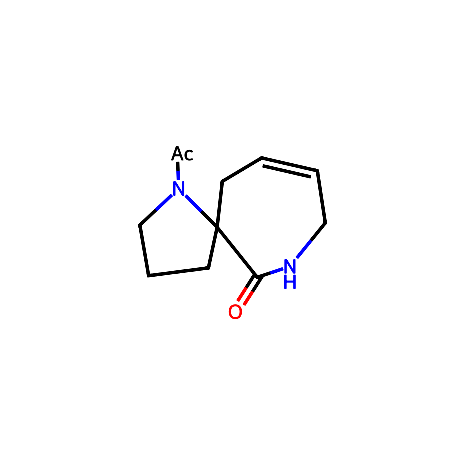 CC(=O)N1CCCC12CC=CCNC2=O